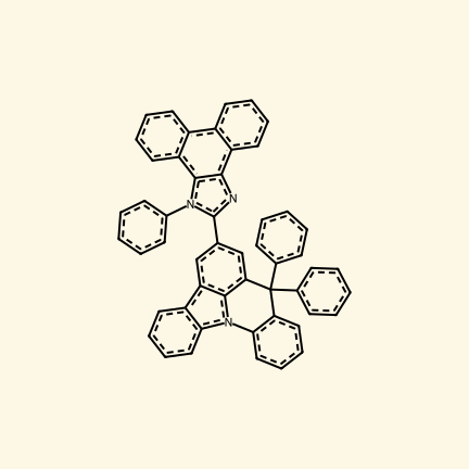 c1ccc(-n2c(-c3cc4c5c(c3)c3ccccc3n5-c3ccccc3C4(c3ccccc3)c3ccccc3)nc3c4ccccc4c4ccccc4c32)cc1